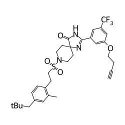 C#CCCOc1cc(C2=NC3(CCN(S(=O)(=O)CCc4ccc(CC(C)(C)C)cc4C)CC3)C(=O)N2)cc(C(F)(F)F)c1